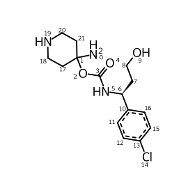 NC1(OC(=O)N[C@@H](CCO)c2ccc(Cl)cc2)CCNCC1